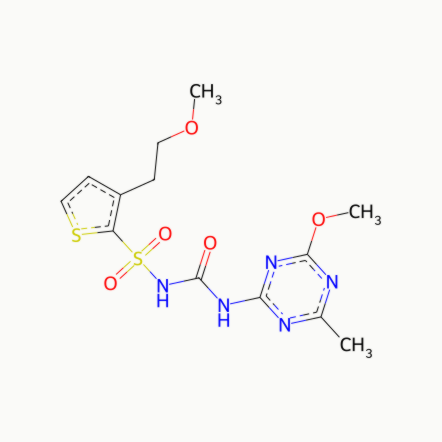 COCCc1ccsc1S(=O)(=O)NC(=O)Nc1nc(C)nc(OC)n1